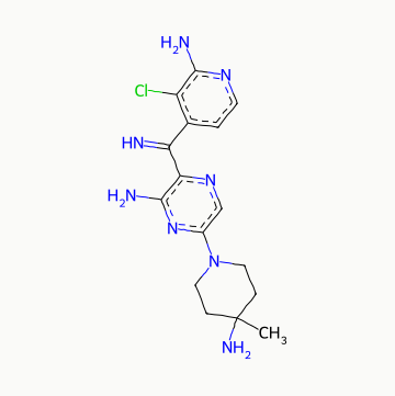 CC1(N)CCN(c2cnc(C(=N)c3ccnc(N)c3Cl)c(N)n2)CC1